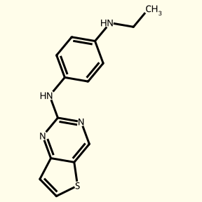 CCNc1ccc(Nc2ncc3sccc3n2)cc1